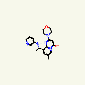 Cc1cc(C(C)Nc2cccnc2)c2nc(N3CCOCC3)cc(=O)n2c1